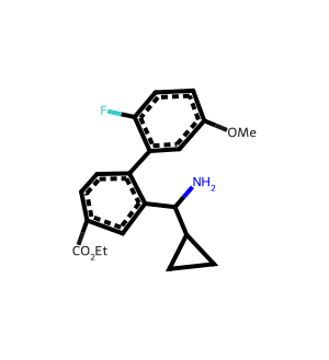 CCOC(=O)c1ccc(-c2cc(OC)ccc2F)c(C(N)C2CC2)c1